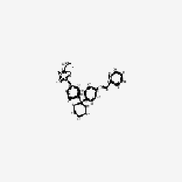 Nc1nnc(-c2ccc(C3(c4ccc(OCc5ccccn5)cc4)CCCCC3)cc2)o1